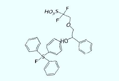 FS(c1ccccc1)(c1ccccc1)c1ccccc1.O=S(=O)(O)C(F)(F)COCC(O)c1ccccc1